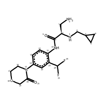 NC[C@@H](NCC1CC1)C(=O)Nc1ccc(N2CCOCC2=O)cc1C(F)F